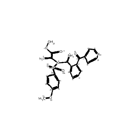 C=C(C(=O)OC)N(C(N)c1ccccc1C(=O)c1ccncc1)S(=O)(=O)c1ccc(OC)cc1